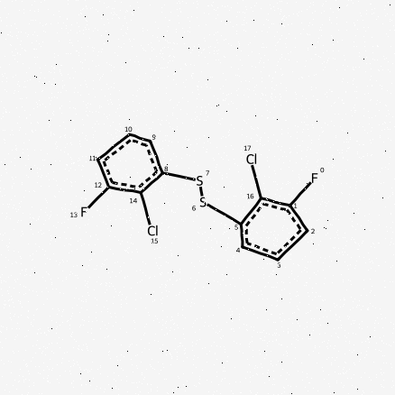 Fc1cccc(SSc2cccc(F)c2Cl)c1Cl